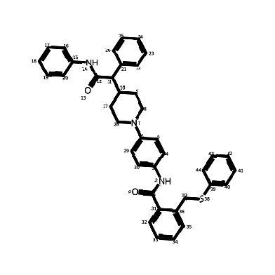 O=C(Nc1ccc(N2CCC(C(C(=O)Nc3ccccc3)c3ccccc3)CC2)cc1)c1ccccc1CSc1ccccc1